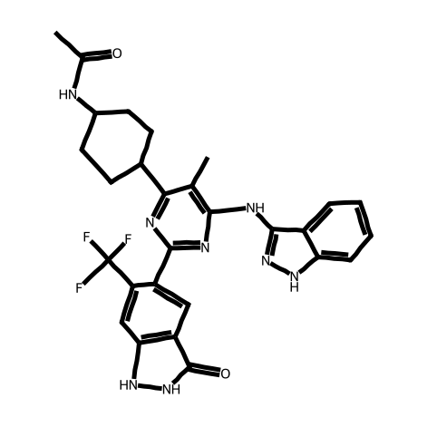 CC(=O)NC1CCC(c2nc(-c3cc4c(=O)[nH][nH]c4cc3C(F)(F)F)nc(Nc3n[nH]c4ccccc34)c2C)CC1